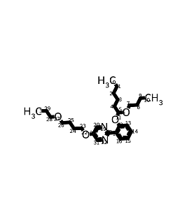 CCCCCC(OCCCC)Oc1ccccc1-c1ncc(OCCCCOCCC)cn1